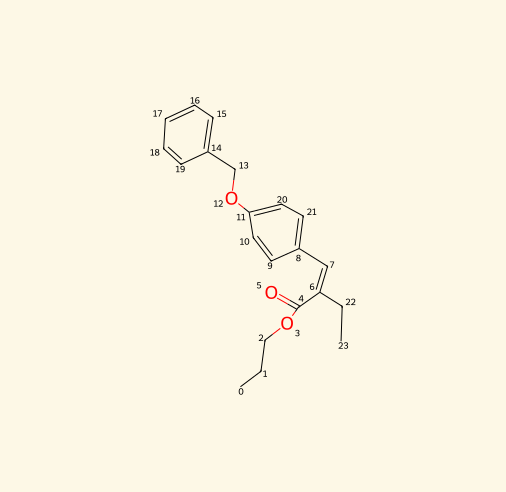 CCCOC(=O)C(=Cc1ccc(OCc2ccccc2)cc1)CC